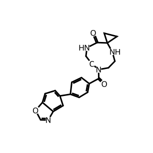 O=C(c1ccc(-c2ccc3ocnc3c2)cc1)N1CCNC(=O)C2(CC2)NCC1